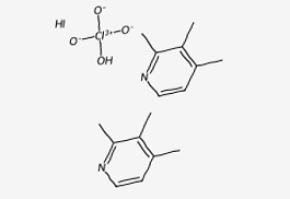 Cc1ccnc(C)c1C.Cc1ccnc(C)c1C.I.[O-][Cl+3]([O-])([O-])O